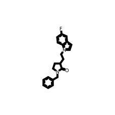 O=C1C(CCn2ccc3cc(F)ccc32)CCN1Cc1ccccc1